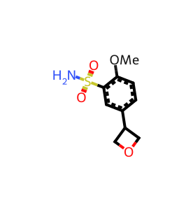 COc1ccc(C2COC2)cc1S(N)(=O)=O